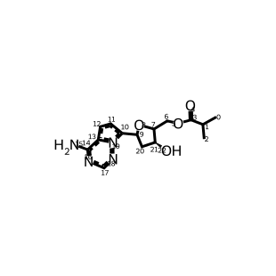 CC(C)C(=O)OCC1OC(c2ccc3c(N)ncnn23)C[C@@H]1O